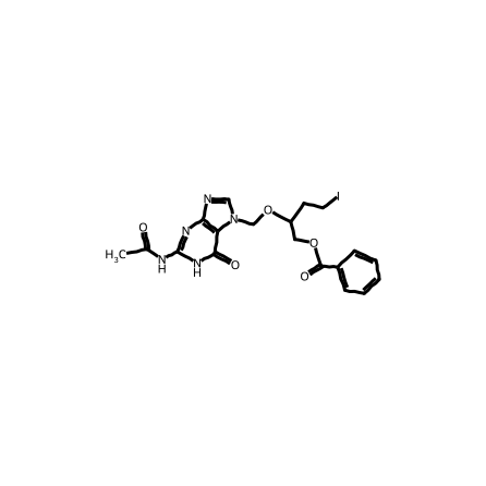 CC(=O)Nc1nc2ncn(COC(CCI)COC(=O)c3ccccc3)c2c(=O)[nH]1